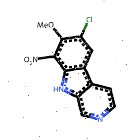 COc1c(Cl)cc2c([nH]c3cnccc32)c1[N+](=O)[O-]